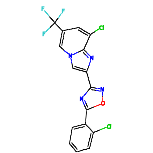 FC(F)(F)c1cc(Cl)c2nc(-c3noc(-c4ccccc4Cl)n3)cn2c1